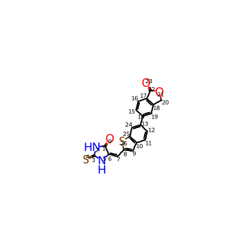 O=C1NC(=S)NC1=Cc1cc2ccc(-c3ccc4c(c3)COC4=O)cc2s1